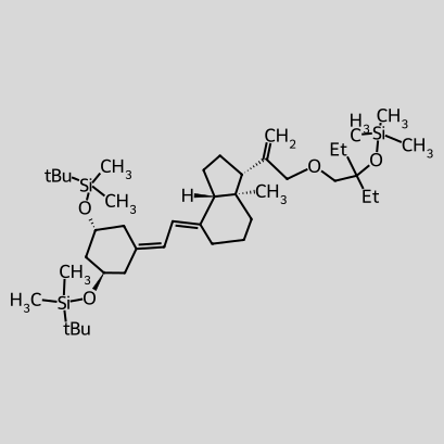 C=C(COCC(CC)(CC)O[Si](C)(C)C)[C@H]1CC[C@H]2/C(=C/C=C3C[C@@H](O[Si](C)(C)C(C)(C)C)C[C@H](O[Si](C)(C)C(C)(C)C)C3)CCC[C@]12C